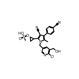 CS(=O)(=O)O.Cc1c(-c2ccc(C#N)cc2)c(C#N)c(C2CC2)n1Cc1cnc(Cl)c(CO)c1